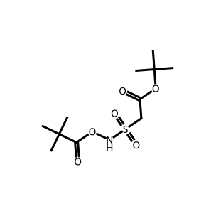 CC(C)(C)OC(=O)CS(=O)(=O)NOC(=O)C(C)(C)C